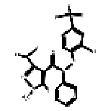 Cn1nc(C(F)F)c(C(=O)N(Oc2ccc(C(F)(F)F)cc2Cl)c2ccccc2)c1F